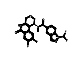 CN(C(=O)c1ccc2c(cnn2C(F)F)c1)[C@H]1COCc2[nH]c(=O)c3cc(F)c(F)cc3c21